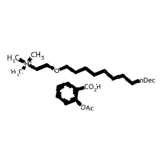 CC(=O)Oc1ccccc1C(=O)O.CCCCCCCCCCCCCCCCCCOCC[N+](C)(C)C